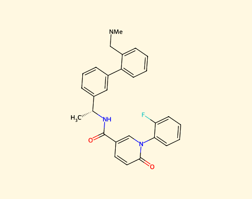 CNCc1ccccc1-c1cccc([C@@H](C)NC(=O)c2ccc(=O)n(-c3ccccc3F)c2)c1